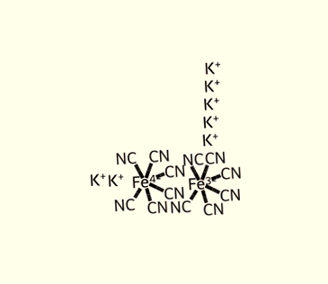 N#[C][Fe-3]([C]#N)([C]#N)([C]#N)([C]#N)[C]#N.N#[C][Fe-4]([C]#N)([C]#N)([C]#N)([C]#N)[C]#N.[K+].[K+].[K+].[K+].[K+].[K+].[K+]